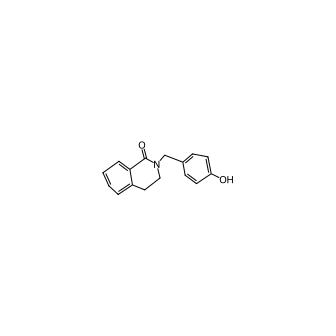 O=C1c2ccccc2CCN1Cc1ccc(O)cc1